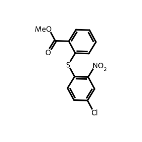 COC(=O)c1ccccc1Sc1ccc(Cl)cc1[N+](=O)[O-]